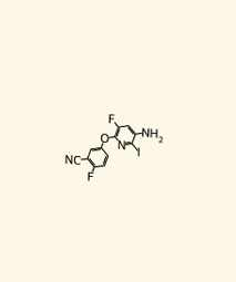 N#Cc1cc(Oc2nc(I)c(N)cc2F)ccc1F